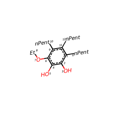 CCCCCc1c(O)c(O)c(OCC)c(CCCCC)c1CCCCC